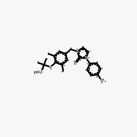 CCOC(=O)C(C)(C)Oc1c(C)cc(Cn2ccn(-c3ccc(C(F)(F)F)cc3)c2=O)cc1C